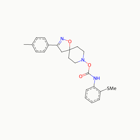 CSc1ccccc1NC(=O)ON1CCC2(CC1)CC(c1ccc(C)cc1)=NO2